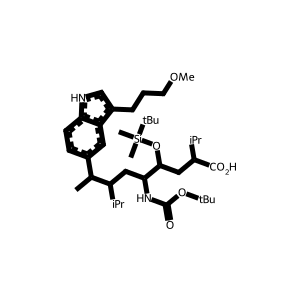 COCCCc1c[nH]c2ccc(C(C)C(CC(NC(=O)OC(C)(C)C)C(CC(C(=O)O)C(C)C)O[Si](C)(C)C(C)(C)C)C(C)C)cc12